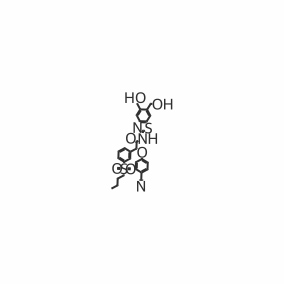 CCCCS(=O)(=O)c1cccc(C(Oc2ccc(C#N)cc2)C(=O)Nc2nc3cc(CO)c(CO)cc3s2)c1